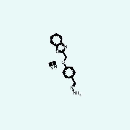 C#N.C#N.NN=Cc1ccc(OCc2nc3ccccc3o2)cc1